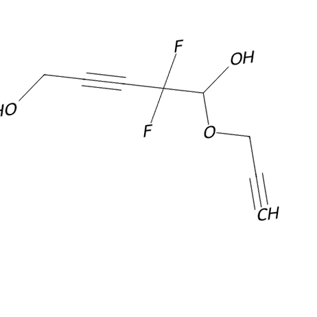 C#CCOC(O)C(F)(F)C#CCO